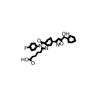 O=C(O)CCCCc1nc2cc(-c3cc([C@@H](O)c4ccccc4)on3)ccc2c(=O)n1-c1ccc(F)cc1